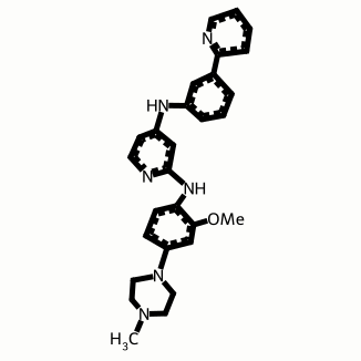 COc1cc(N2CCN(C)CC2)ccc1Nc1cc(Nc2cccc(-c3ccccn3)c2)ccn1